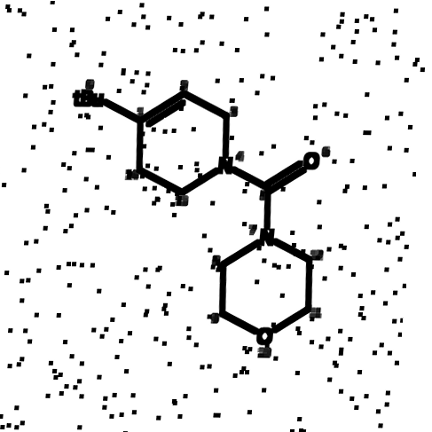 CC(C)(C)C1=CCN(C(=O)N2CCOCC2)CC1